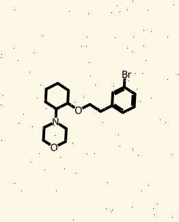 Brc1cccc(CCOC2CCCCC2N2CCOCC2)c1